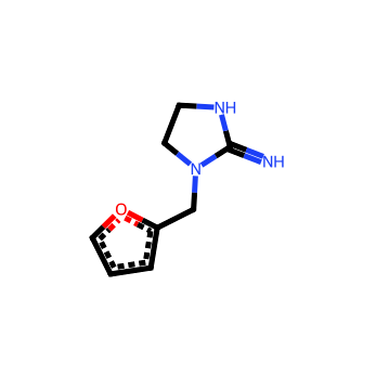 N=C1NCCN1Cc1ccco1